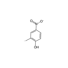 [CH2]c1cc([N+](=O)[O-])ccc1O